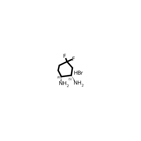 Br.N[C@@H]1CCC(F)(F)C[C@@H]1N